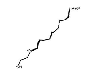 CCCCCCCCCCCCCCNCCS